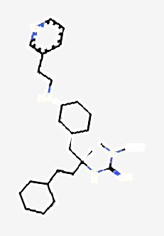 CN(C=O)C(=N)N[C@](C)(CCC1CCCCC1)C[C@@H]1CCC[C@@H](NCCc2cccnc2)C1